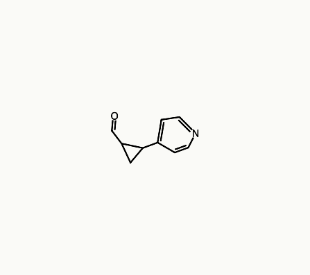 O=CC1CC1c1ccncc1